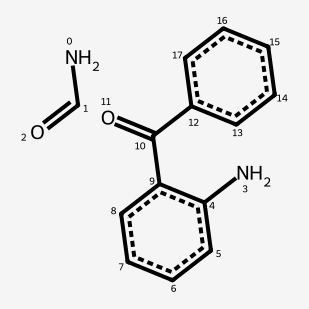 NC=O.Nc1ccccc1C(=O)c1ccccc1